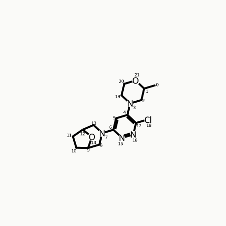 CC1CN(c2cc(N3CC4CCC(C3)O4)nnc2Cl)CCO1